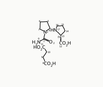 NC(=O)N1CCCC1.O=C(O)CCC(=O)O.O=C(O)[C@@H]1CCCN1